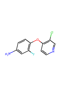 Nc1ccc(Oc2ccn[c]c2Cl)c(F)c1